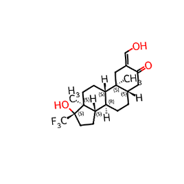 C[C@]12CC(=CO)C(=O)C[C@@H]1CC[C@@H]1[C@@H]2CC[C@@]2(C)[C@H]1CC[C@@]2(O)C(F)(F)F